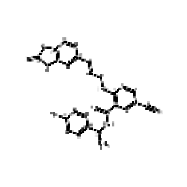 C[C@H](NC(=O)c1cc(C#N)cnc1NCC=Cc1ccc2c(c1)NC(=O)C2)c1ccc(F)cc1